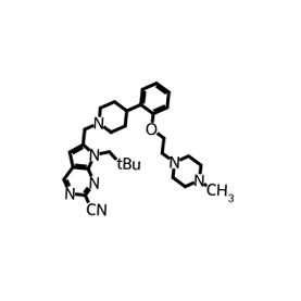 CN1CCN(CCOc2ccccc2C2CCN(Cc3cc4cnc(C#N)nc4n3CC(C)(C)C)CC2)CC1